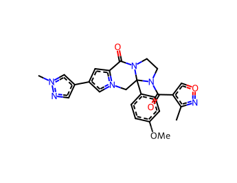 COc1ccc(C23Cn4cc(-c5cnn(C)c5)cc4C(=O)N2CCN3C(=O)c2conc2C)cc1